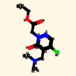 CCOC(=O)Cn1ncc(Cl)c(CN(C)C)c1=O